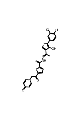 C/C(=N\NC(=O)c1ccc(C(=O)Cn2ccc(=O)cc2)s1)c1csc(-c2ccc(Cl)c(Cl)c2)c1O